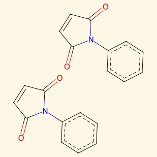 O=C1C=CC(=O)N1c1ccccc1.O=C1C=CC(=O)N1c1ccccc1